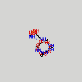 C/C=C(\C)[C@H]1OC(=O)[C@@H](C)NC(=O)[C@H]([C@H](C)CC)NC(=O)CN(C)C(=O)[C@@H](Cc2ccccc2)N(C)C(=O)[C@H](C)NC(=O)[C@@H](CC(C)C)OC(=O)/C(C)=C/C[C@H](OC(=O)NCCCCCCCOP(=O)(O)OP(=O)(O)OCCN)[C@@H]1C